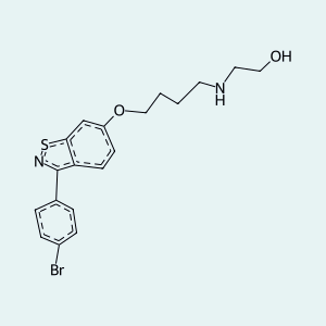 OCCNCCCCOc1ccc2c(-c3ccc(Br)cc3)nsc2c1